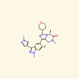 C[C@H]1C(=O)N(C)Cc2c(-c3cc4c(-c5cnn(C)c5)nn(C)c4cc3F)nc(C3CCOCC3)n21